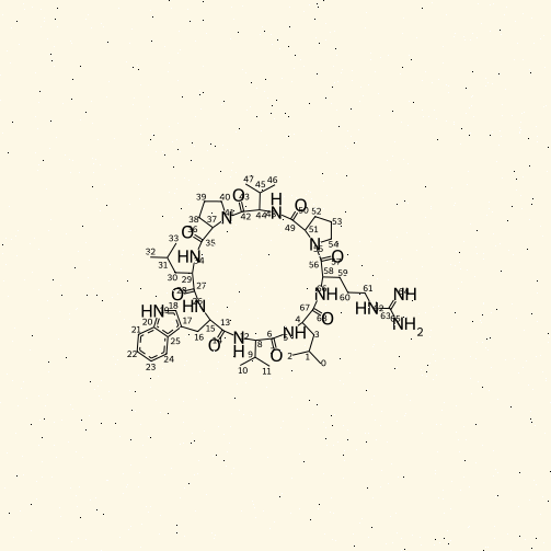 CC(C)CC1NC(=O)C(C(C)C)NC(=O)C(Cc2c[nH]c3ccccc23)NC(=O)C(CC(C)C)NC(=O)C2CCCN2C(=O)C(C(C)C)NC(=O)C2CCCN2C(=O)C(CCCNC(=N)N)NC1=O